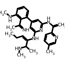 C=C(Nc1cc(-c2cccc(NC)c2C(C)=N)cc(N/C(=C/CC)C(C)NC)n1)c1ccc(C)cn1